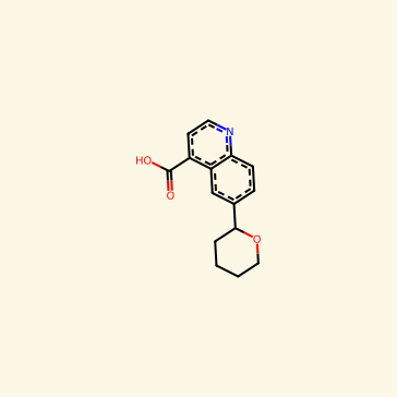 O=C(O)c1ccnc2ccc(C3CCCCO3)cc12